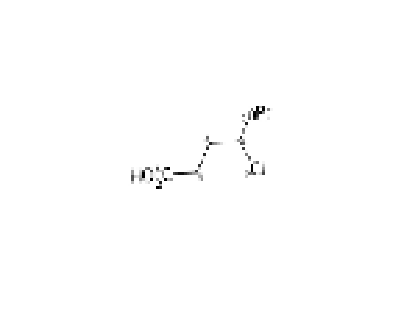 CCCC(Cl)CCC(=O)O